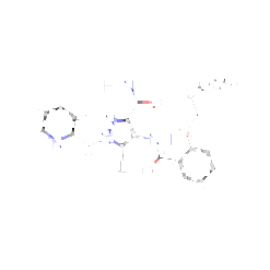 CCc1c(NC(=O)c2ccccc2OCCOC)c(C(N)=O)nn1Cc1ccccn1